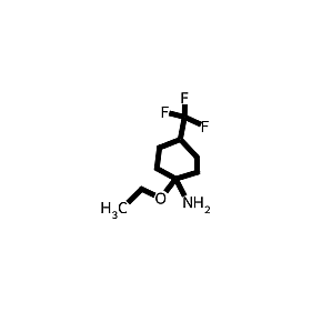 CCOC1(N)CCC(C(F)(F)F)CC1